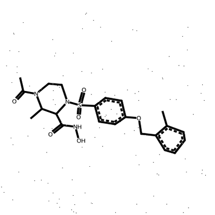 CC(=O)N1CCN(S(=O)(=O)c2ccc(OCc3ccccc3C)cc2)C(C(=O)NO)C1C